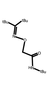 CC(C)(C)NC(=O)CON=C(C(C)(C)C)C(C)(C)C